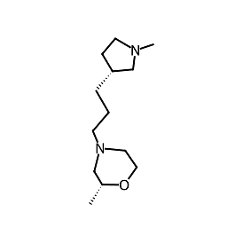 C[C@@H]1CN(CCC[C@@H]2CCN(C)C2)CCO1